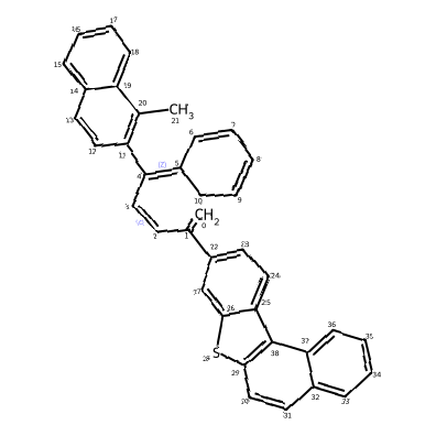 C=C(/C=C\C(=C1\C=CC=CC1)c1ccc2ccccc2c1C)c1ccc2c(c1)sc1ccc3ccccc3c12